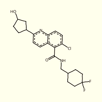 O=C(NCC1CCC(F)(F)CC1)c1c(Cl)ccc2nc(C3CCC(O)C3)ccc12